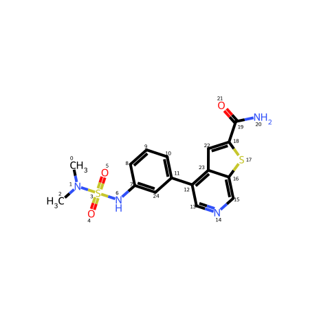 CN(C)S(=O)(=O)Nc1cccc(-c2cncc3sc(C(N)=O)cc23)c1